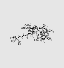 CCO[Si](C)(CCCNC[SiH2]C(C[Si](C)(C)O[Si](C)(C)O[Si](C)(C)O[Si](C)(C)O[Si](C)(C)N(CC)CC)C(C)[Si](OC)(OC)OC)OCC